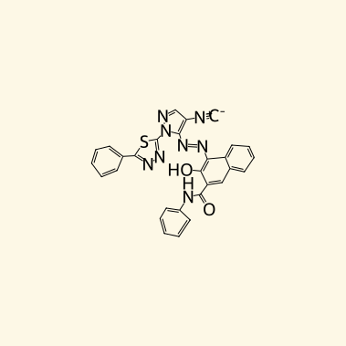 [C-]#[N+]c1cnn(-c2nnc(-c3ccccc3)s2)c1/N=N/c1c(O)c(C(=O)Nc2ccccc2)cc2ccccc12